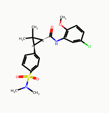 COc1ccc(Cl)cc1NC(=O)[C@@H]1[C@@H](c2ccc(S(=O)(=O)N(C)C)cc2)C1(C)C